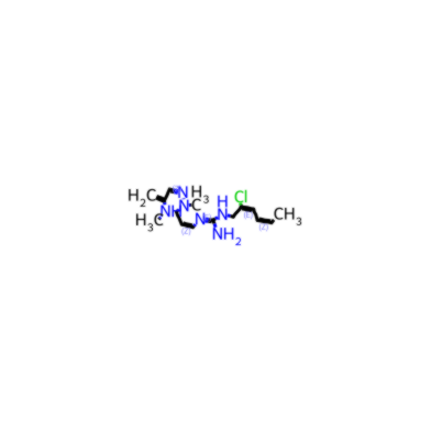 C=C(/C=N\N(C)C/C=C\N=C(/N)NC/C(Cl)=C\C=C/C)NC